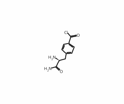 NC(=O)[C@@H](N)Cc1ccc(C(=O)Cl)cc1